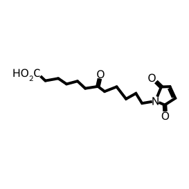 O=C(O)CCCCCC(=O)CCCCCN1C(=O)C=CC1=O